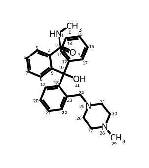 CNC(=O)c1ccccc1C(O)(c1ccccc1)c1ccccc1CN1CCN(C)CC1